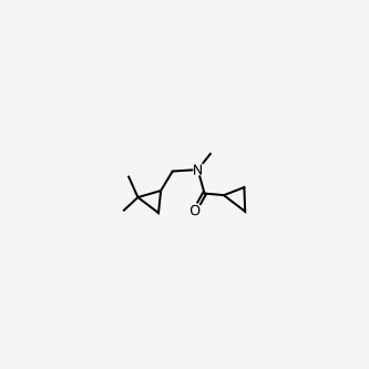 CN(CC1CC1(C)C)C(=O)C1CC1